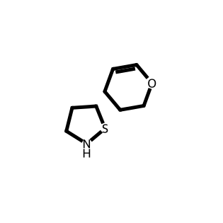 C1=COCCC1.C1CNSC1